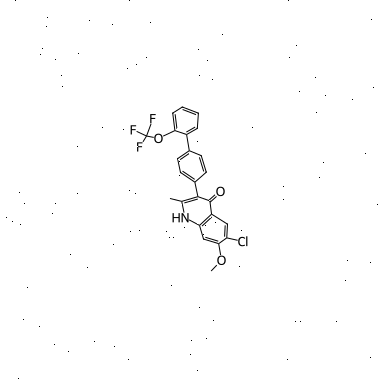 COc1cc2[nH]c(C)c(-c3ccc(-c4ccccc4OC(F)(F)F)cc3)c(=O)c2cc1Cl